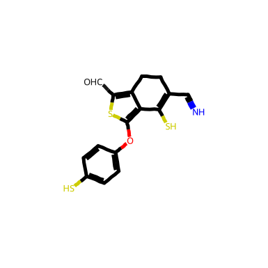 N=CC1=C(S)c2c(Oc3ccc(S)cc3)sc(C=O)c2CC1